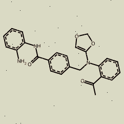 CC(=O)c1ccccc1N(Cc1ccc(C(=O)Nc2ccccc2N)cc1)C1=COCO1